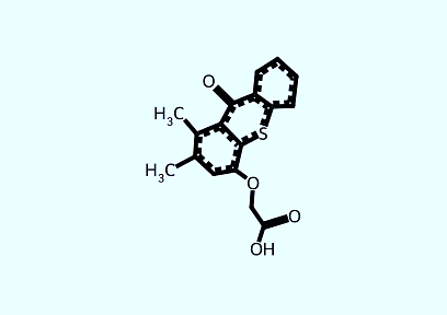 Cc1cc(OCC(=O)O)c2sc3ccccc3c(=O)c2c1C